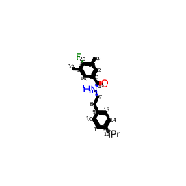 Cc1cc(C(=O)NCCc2ccc(C(C)C)cc2)cc(C)c1F